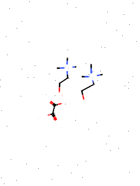 C[N+](C)(C)CCO.C[N+](C)(C)CCO.O=C([O-])C(=O)[O-]